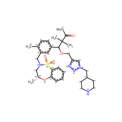 COC(=O)C(C)(C)C(OCc1cn(CC2CCNCC2)nn1)c1ccc(C)c(CN2C[C@@H](C)Oc3ccccc3S2(=O)=O)c1